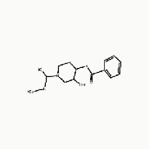 CC(C)(C)OC(O)N1CCC(SC(=O)c2ccccc2)C(O)C1